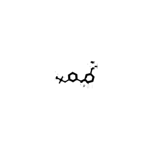 CC(C)(Cc1cccc(-c2n[nH]c3ccc(-c4ncn[nH]4)cc23)c1)C(N)=O